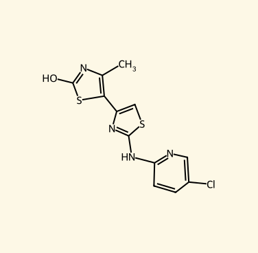 Cc1nc(O)sc1-c1csc(Nc2ccc(Cl)cn2)n1